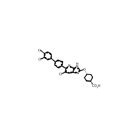 O=C(O)[C@H]1CC[C@H](Oc2nc3cc(Cl)c(-c4ccc(-c5ccc(Cl)c(Cl)c5)cc4)nc3[nH]2)CC1